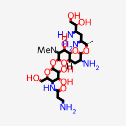 CNC1C(OC2OC(CO)C(NC(=O)CCN)C(O)C2O)O[C@H]2C[C@H](N)C(O[C@@H](C)C(N)CC(N)[C@@H](O)CO)OC2C1O